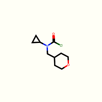 O=C(Cl)N(CC1CCOCC1)C1CC1